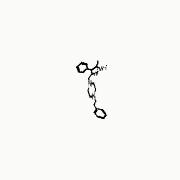 Cc1[nH]nc(CN2CCN(CCc3ccccc3)CC2)c1-c1ccccc1